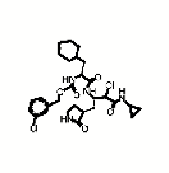 O=C(N[C@@H](CC1CCCCC1)C(=O)N[C@@H](C[C@@H]1CCNC1=O)C(O)C(=O)NC1CC1)OCc1cccc(Cl)c1